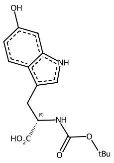 CC(C)(C)OC(=O)N[C@@H](Cc1c[nH]c2cc(O)ccc12)C(=O)O